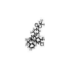 CC1CN(C(=O)OC(C)(C)C)CCN1c1nc(=O)n(-c2ccccc2C(C)(C)C)c2nc(Cl)c(F)cc12